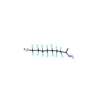 [CH2]C(N)C(F)(F)C(F)(F)C(F)(F)C(F)(F)C(F)(F)C(F)(F)C(F)(F)C(F)(F)F